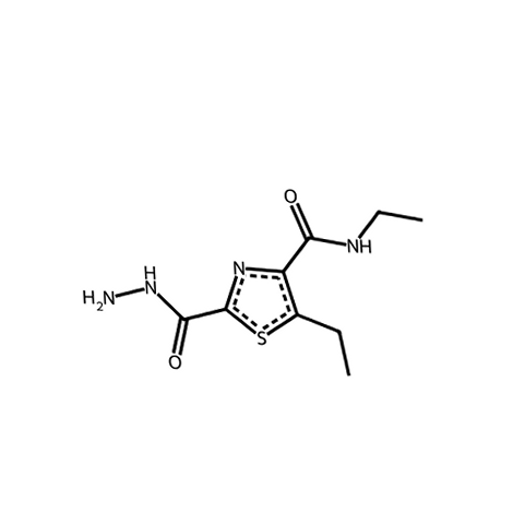 CCNC(=O)c1nc(C(=O)NN)sc1CC